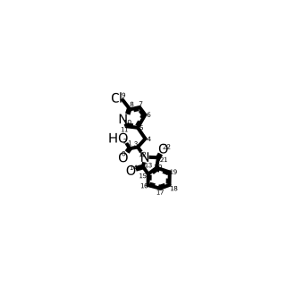 O=C(O)C(Cc1ccc(Cl)nc1)N1C(=O)c2ccccc2C1=O